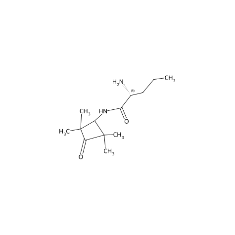 CCC[C@@H](N)C(=O)NC1C(C)(C)C(=O)C1(C)C